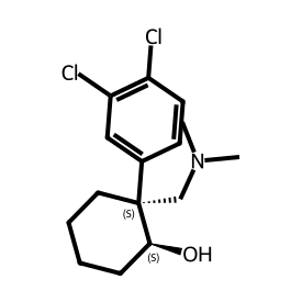 CN(C)C[C@@]1(c2ccc(Cl)c(Cl)c2)CCCC[C@@H]1O